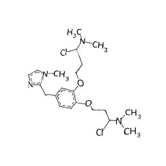 CN(C)C(Cl)CCOc1ccc(Cc2nccn2C)cc1OCCC(Cl)N(C)C